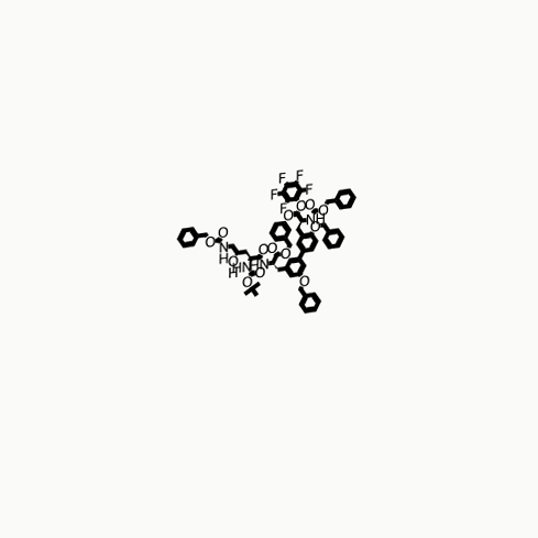 CC(C)(C)OC(=O)N[C@@H](C[C@@H](O)CNC(=O)OCc1ccccc1)C(=O)N[C@@H](Cc1cc(OCc2ccccc2)cc(-c2ccc(OCc3ccccc3)c(C[C@H](NC(=O)OCc3ccccc3)C(=O)Oc3c(F)c(F)c(F)c(F)c3F)c2)c1)C(=O)OCc1ccccc1